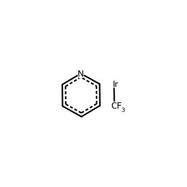 F[C](F)(F)[Ir].c1ccncc1